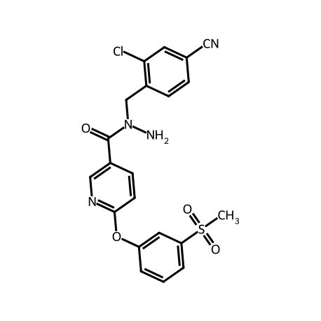 CS(=O)(=O)c1cccc(Oc2ccc(C(=O)N(N)Cc3ccc(C#N)cc3Cl)cn2)c1